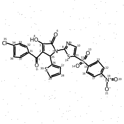 O=C(C1=C(O)C(=O)N(c2ncc(S(=O)(=O)c3ccc([N+](=O)[O-])cc3)s2)C1c1cccs1)c1ccc(Cl)cc1